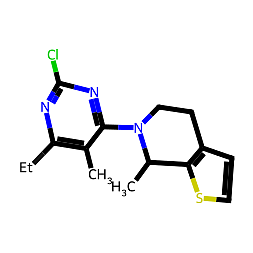 CCc1nc(Cl)nc(N2CCc3ccsc3C2C)c1C